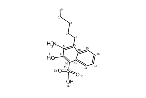 CCCCCc1c(N)c(O)c(S(=O)(=O)O)c2ccccc12